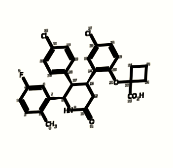 Cc1ccc(F)cc1[C@@H]1NC(=O)C[C@H](c2cc(Cl)ccc2OC2(C(=O)O)CCC2)[C@@H]1c1ccc(Cl)cc1